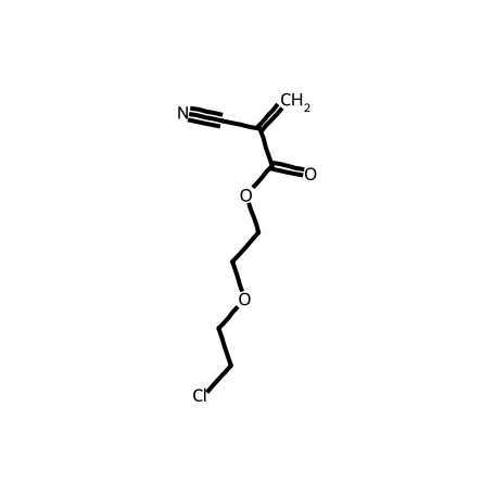 C=C(C#N)C(=O)OCCOCCCl